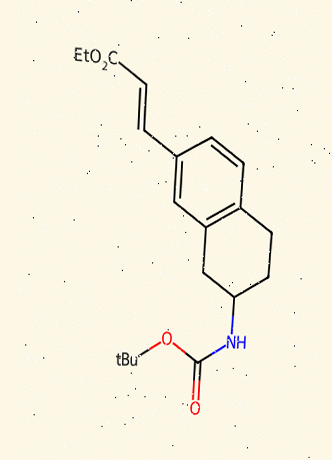 CCOC(=O)C=Cc1ccc2c(c1)CC(NC(=O)OC(C)(C)C)CC2